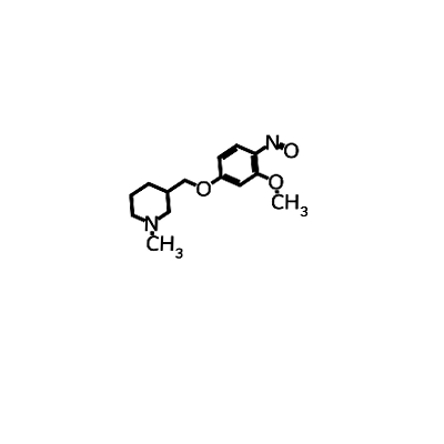 COc1cc(OCC2CCCN(C)C2)ccc1N=O